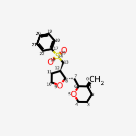 C=C1CCCOC1C[C@@H]1OCC[C@H]1CS(=O)(=O)c1ccccc1